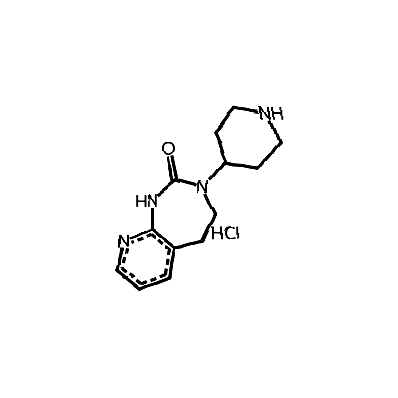 Cl.O=C1Nc2ncccc2CCN1C1CCNCC1